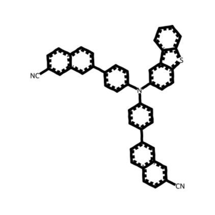 N#Cc1ccc2ccc(-c3ccc(N(c4ccc(-c5ccc6ccc(C#N)cc6c5)cc4)c4ccc5sc6ccccc6c5c4)cc3)cc2c1